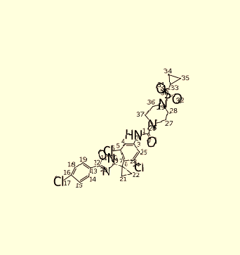 O=C(Nc1cc(Cl)c(C2(c3noc(-c4ccc(Cl)cc4)n3)CC2)c(Cl)c1)N1CCN(S(=O)(=O)C2CC2)CC1